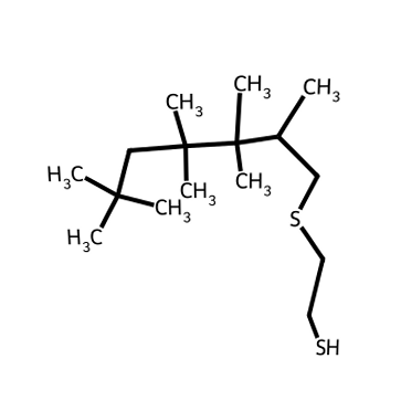 CC(CSCCS)C(C)(C)C(C)(C)CC(C)(C)C